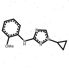 COc1ccccc1Nc1ncn(C2CC2)n1